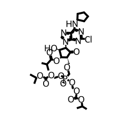 CC(C)OC(=O)OCOP(=O)(COC[C@H]1C(=O)[C@H](n2cnc3c(NC4CCCC4)nc(Cl)nc32)[C@@H](O)[C@H]1OC(=O)C(C)C)OCOC(=O)OC(C)C